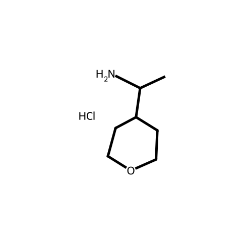 CC(N)C1CCOCC1.Cl